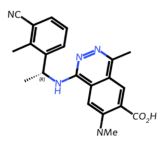 CNc1cc2c(N[C@H](C)c3cccc(C#N)c3C)nnc(C)c2cc1C(=O)O